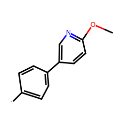 [CH2]c1ccc(-c2ccc(OC)nc2)cc1